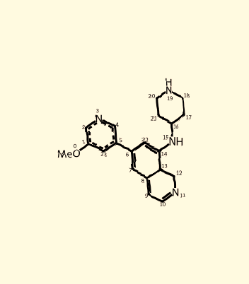 COc1cncc(C2=CC3=CC=NCC3C(NC3CCNCC3)=C2)c1